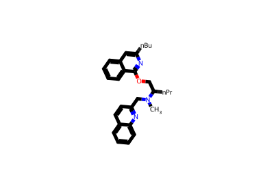 CCCCc1cc2ccccc2c(OCC(CCC)N(C)Cc2ccc3ccccc3n2)n1